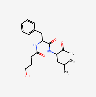 CC(=O)C(CC(C)C)NC(=O)C(Cc1ccccc1)NC(=O)CCCO